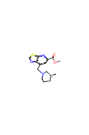 COC(=O)c1cc(CN2CCC[C@H](C)C2)c2ncsc2n1